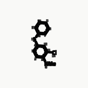 CNc1ccc(Sc2ccccc2)cc1Cl